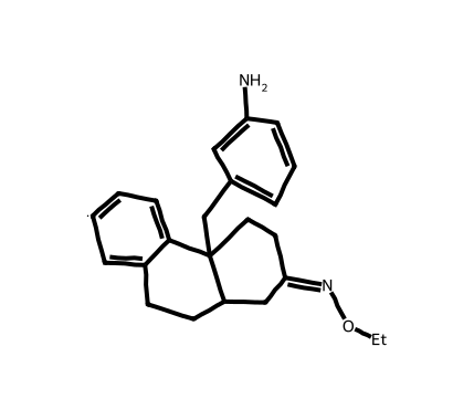 CCO/N=C1/CCC2(Cc3cccc(N)c3)c3cc[c]cc3CCC2C1